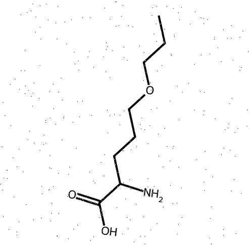 CCCOCCCC(N)C(=O)O